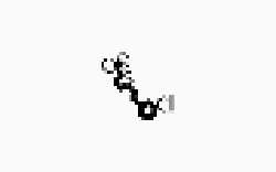 COC(=O)c1ccc(/C=C/c2cccc(Cl)c2)s1